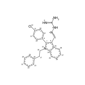 N=C(N)NN=Cc1c(-c2ccc(Cl)cc2)n(CCc2ccccc2)c2ccccc12